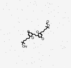 CC(C)(CO)CCCCC1=CC(=O)C=C(CCC2=CC(=O)C=C(CCCCC(C)(C)OC=O)C2=O)C1=O